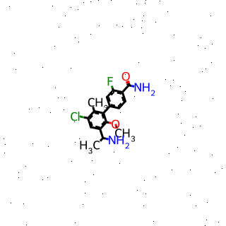 COc1c(C(C)N)cc(Cl)c(C)c1-c1ccc(C(N)=O)c(F)c1